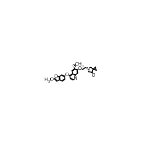 COc1cc2c(Oc3ccc4cc(C)oc4c3)ccnc2cc1OCCN1CC(=O)C2(CC2)C1